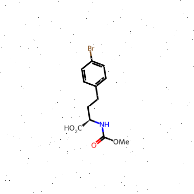 COC(=O)N[C@H](CCc1ccc(Br)cc1)C(=O)O